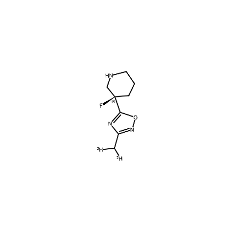 [2H]C([2H])c1noc([C@@]2(F)CCCNC2)n1